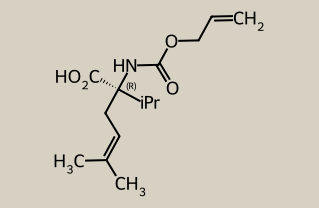 C=CCOC(=O)N[C@@](CC=C(C)C)(C(=O)O)C(C)C